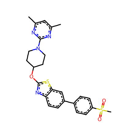 Cc1cc(C)nc(N2CCC(Oc3nc4ccc(-c5ccc(S(C)(=O)=O)cc5)cc4s3)CC2)n1